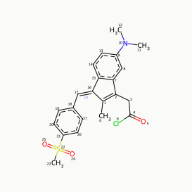 CC1=C(CC(=O)Cl)c2cc(N(C)C)ccc2/C1=C/c1ccc(S(C)(=O)=O)cc1